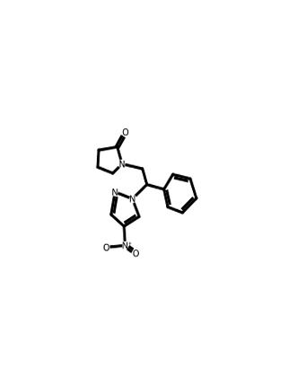 O=C1CCCN1CC(c1ccccc1)n1cc([N+](=O)[O-])cn1